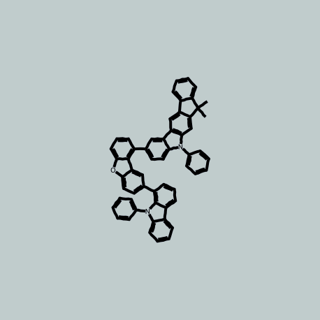 CC1(C)c2ccccc2-c2cc3c4cc(-c5cccc6oc7ccc(-c8cccc9c%10ccccc%10n(-c%10ccccc%10)c89)cc7c56)ccc4n(-c4ccccc4)c3cc21